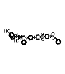 O=C(OCc1ccccc1)N1CCC(S(=O)(=O)N2CCN(c3ccc(N4CCN(C(=O)NC5[C@@H]6CC7C[C@H]5CC(O)(C7)C6)c5ccccc54)cc3)CC2)CC1